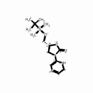 CC(C)(C)[Si](C)(C)OC[C@H]1CN(C2=CN=CCN2)C(=O)O1